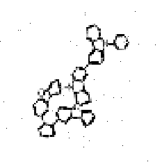 c1ccc(-n2c3ccccc3c3cc(-c4ccc5c(c4)c4ccccc4n5-c4ccc5oc6ccc(-c7ccccc7-c7ccc8oc9ccccc9c8c7)cc6c5c4)ccc32)cc1